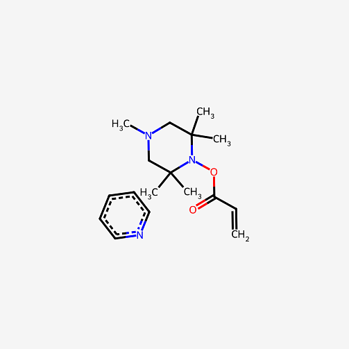 C=CC(=O)ON1C(C)(C)CN(C)CC1(C)C.c1ccncc1